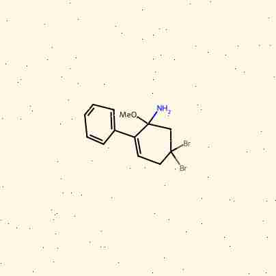 COC1(N)CC(Br)(Br)CC=C1c1ccccc1